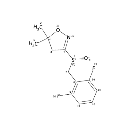 CC1(C)CC([S@+]([O-])Cc2c(F)cccc2F)=NO1